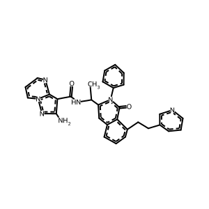 CC(NC(=O)c1c(N)nn2cccnc12)c1cc2cccc(CCc3cccnc3)c2c(=O)n1-c1ccccc1